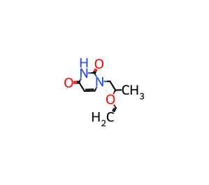 C=COC(C)Cn1ccc(=O)[nH]c1=O